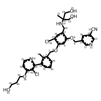 Cc1c(COc2cc(OCc3cncc(C#N)c3)c(CNC(C)(CO)CO)cc2Cl)cccc1-c1nccc(OCCCO)c1Cl